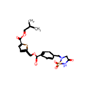 CC(C)COC(=O)c1ccc(COC(=O)c2ccc(CN3CC(=O)NS3(=O)=O)cc2)s1